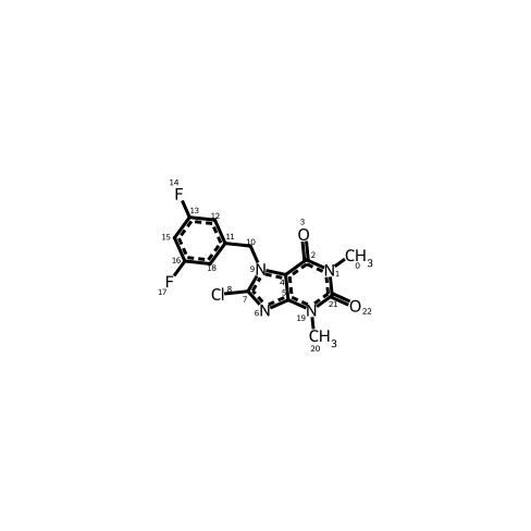 Cn1c(=O)c2c(nc(Cl)n2Cc2cc(F)cc(F)c2)n(C)c1=O